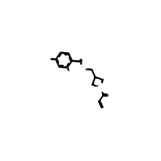 C=CC(=O)N1CC(CNC(=O)c2ccc(F)cc2F)C1